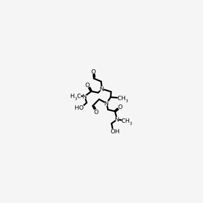 CC(CN(CC=O)CC(=O)N(C)CO)N(CC=O)CC(=O)N(C)CO